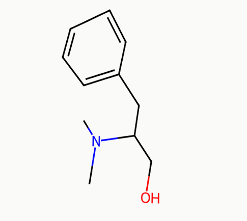 CN(C)C(CO)Cc1ccccc1